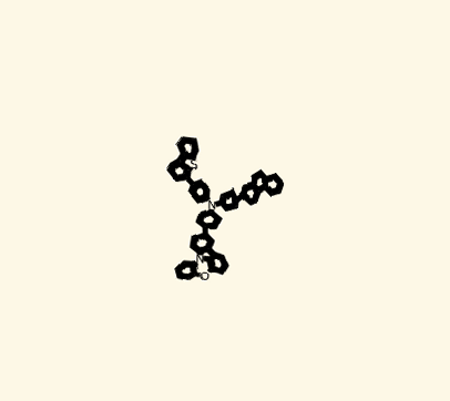 c1ccc2c(c1)Oc1cccc3c4cc(-c5ccc(N(c6ccc(-c7ccc8c(ccc9ccccc98)c7)cc6)c6ccc(-c7cccc8c7sc7ccccc78)cc6)cc5)ccc4n-2c13